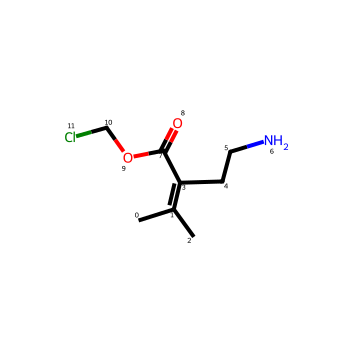 CC(C)=C(CCN)C(=O)OCCl